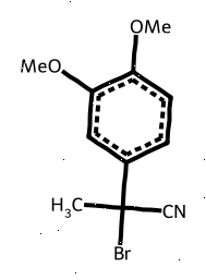 COc1ccc(C(C)(Br)C#N)cc1OC